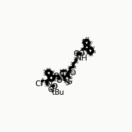 CC(C)(C)OC(=O)N1C[C@@H](CCl)c2c1cc(OC(=O)N1CCN(C(=O)CCCCCNC(=O)OCC3c4ccccc4-c4ccccc43)C3CSSCC31)c1ccccc21